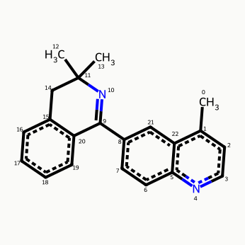 Cc1ccnc2ccc(C3=NC(C)(C)Cc4ccccc43)cc12